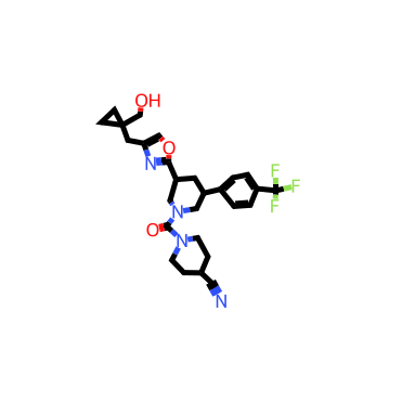 N#CC1CCN(C(=O)N2CC(c3ccc(C(F)(F)F)cc3)CC(c3nc(CC4(CO)CC4)co3)C2)CC1